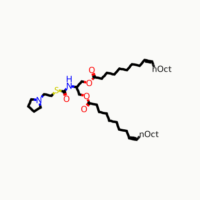 CCCCCCCC/C=C\CCCCCCCC(=O)OCC(COC(=O)CCCCCCC/C=C\CCCCCCCC)NC(=O)SCCN1CCCC1